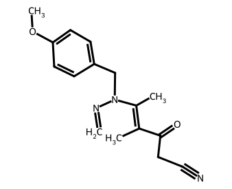 C=NN(Cc1ccc(OC)cc1)/C(C)=C(\C)C(=O)CC#N